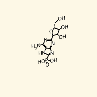 Nc1nc(C2O[C@H](CO)[C@@H](O)[C@H]2O)nc2nc(P(=O)(O)O)[nH]c12